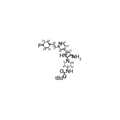 CC(C)(C)OC(=O)NC1CCN(c2[nH]c(-c3ccnc(/C=C/C4=CCC(F)C=C4)c3)cc2N)CC1